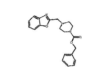 O=C(OCc1ccccc1)N1CCN(Cc2nc3ccccc3o2)CC1